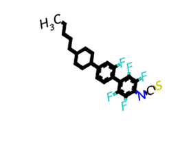 CCCCCC1CCC(c2ccc(-c3c(F)c(F)c(N=C=S)c(F)c3F)c(F)c2)CC1